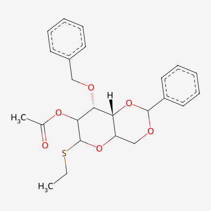 CCSC1OC2COC(c3ccccc3)O[C@H]2[C@@H](OCc2ccccc2)C1OC(C)=O